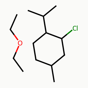 CC1CCC(C(C)C)C(Cl)C1.CCOCC